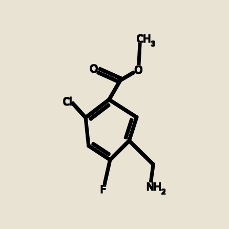 COC(=O)c1cc(CN)c(F)cc1Cl